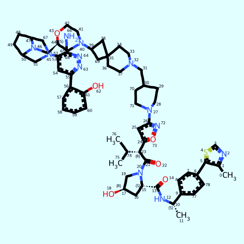 Cc1ncsc1-c1ccc([C@H](C)NC(=O)[C@@H]2C[C@@H](O)CN2C(=O)[C@@H](c2cc(N3CCC(CN4CCC5(CC4)CC(N4CCO[C@H](CN6C7CCC6CN(c6cc(-c8ccccc8O)nnc6N)C7)C4)C5)CC3)no2)C(C)C)cc1